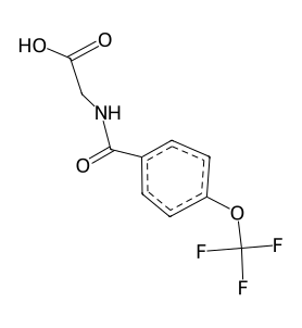 O=C(O)CNC(=O)c1ccc(OC(F)(F)F)cc1